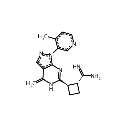 C=C1NC([C@@H]2CC[C@H]2C(=N)N)=Nc2c1cnn2-c1cnccc1C